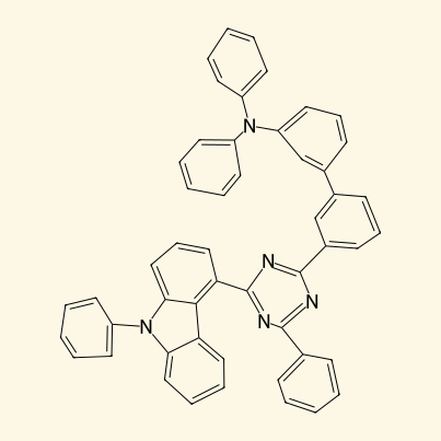 c1ccc(-c2nc(-c3cccc(-c4cccc(N(c5ccccc5)c5ccccc5)c4)c3)nc(-c3cccc4c3c3ccccc3n4-c3ccccc3)n2)cc1